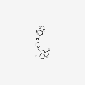 O=c1cnc2ccc(F)c3c2n1CC3CN1CCC(NCc2cc3c(nn2)OCCO3)CC1